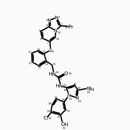 CC(C)c1nnc2ccc(Sc3ccccc3CNC(=O)Nc3cc(C(C)(C)C)nn3-c3ccc(Cl)c(O)c3)cn12